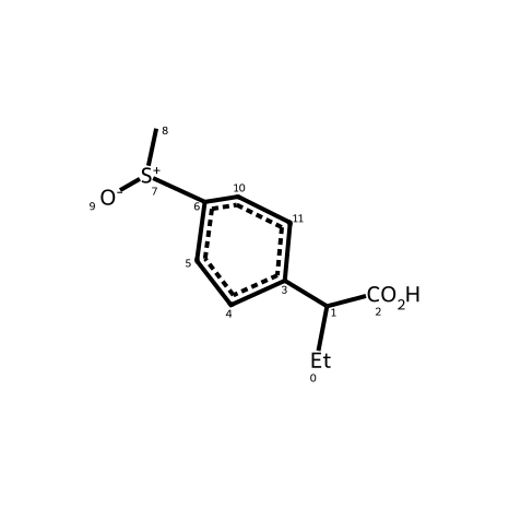 CCC(C(=O)O)c1ccc([S+](C)[O-])cc1